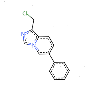 ClCc1ncn2cc(-c3ccccc3)ccc12